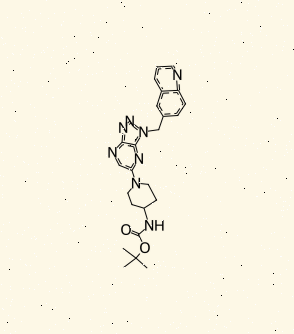 CC(C)(C)OC(=O)NC1CCN(c2cnc3nnn(Cc4ccc5ncccc5c4)c3n2)CC1